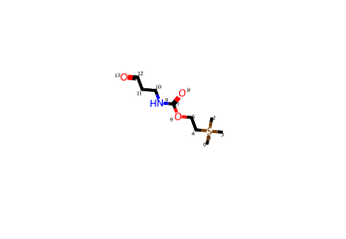 CS(C)(C)CCOC(=O)NCCC=O